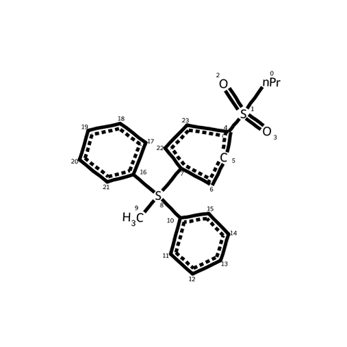 CCCS(=O)(=O)c1ccc(S(C)(c2ccccc2)c2ccccc2)cc1